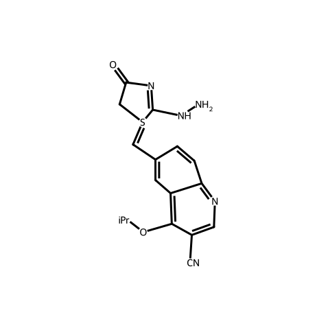 CC(C)Oc1c(C#N)cnc2ccc(/C=S3/CC(=O)N=C3NN)cc12